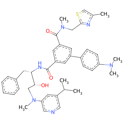 Cc1csc(CN(C)C(=O)c2cc(C(=O)N[C@@H](Cc3ccccc3)[C@H](O)CN(C)c3cncc(C(C)C)c3)cc(-c3ccc(N(C)C)cc3)c2)n1